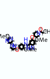 C=CC(=O)N1CCC(Oc2cc3c(Nc4ccc(Oc5ccn(-c6cnc(OC)nc6)n5)cc4OC)ncnc3cc2OC)CC1